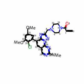 C=CC(=O)N1CCN(Cc2nc3c(-c4cc(OC)cc(OC)c4Cl)cc4cnc(NC)nc4n3n2)CC1